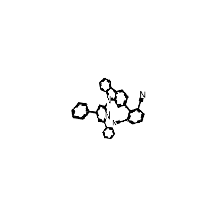 N#Cc1cccc(C#N)c1-c1ccc2c3ccccc3n(-c3cc(-c4ccccc4)cc(-c4ccccc4)n3)c2c1